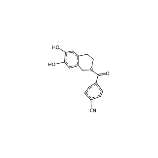 N#Cc1ccc(C(=O)N2CCc3cc(O)c(O)cc3C2)cc1